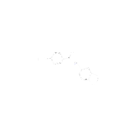 [CH2]c1ccc(C(=O)/C=C/c2ccc3c(c2)OCO3)cc1